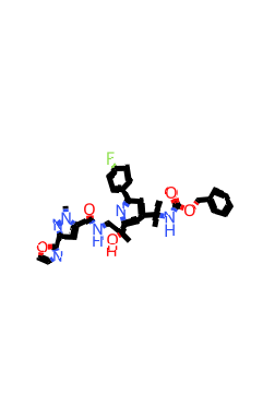 Cn1nc(-c2ncco2)cc1C(=O)NCC(C)(O)c1cc(C(C)(C)NC(=O)OCc2ccccc2)cc(-c2ccc(F)cc2)n1